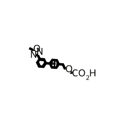 Cc1nc(-c2cccc(C34CCC(CCOCC(=O)O)(CC3)CO4)c2)no1